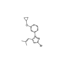 CC(C)=Cc1cc(Br)nn1-c1cccc(OC2CC2)c1